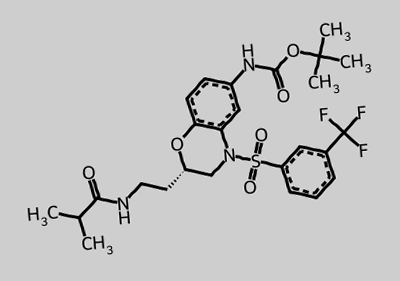 CC(C)C(=O)NCC[C@H]1CN(S(=O)(=O)c2cccc(C(F)(F)F)c2)c2cc(NC(=O)OC(C)(C)C)ccc2O1